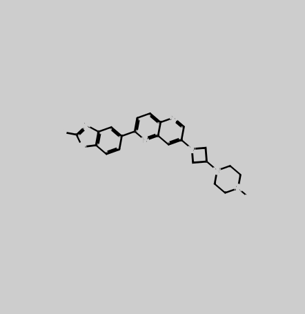 CCN1CCN(C2CN(c3cnc4ccc(-c5ccc6oc(C)nc6c5)nc4c3)C2)CC1